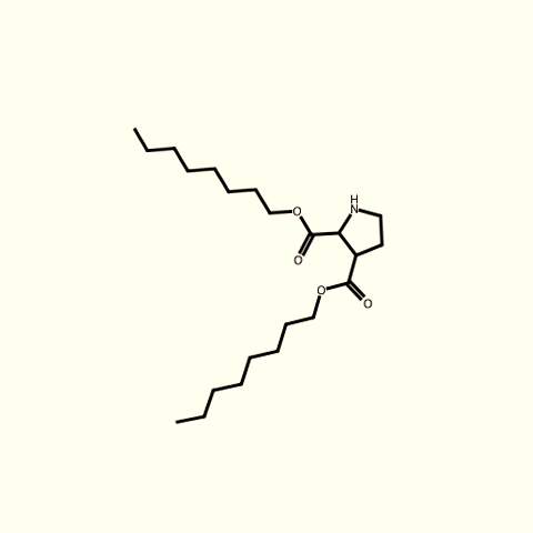 CCCCCCCCOC(=O)C1CCNC1C(=O)OCCCCCCCC